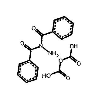 NN(C(=O)c1ccccc1)C(=O)c1ccccc1.O=C(O)OC(=O)O